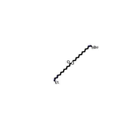 CC/C=C\C=C\CCCCCCCC(=O)OCCCCCCCCCC/C=C\CCCC